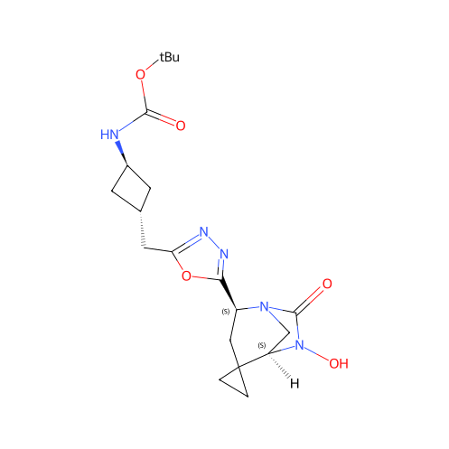 CC(C)(C)OC(=O)N[C@H]1C[C@H](Cc2nnc([C@@H]3CC4(CC4)[C@H]4CN3C(=O)N4O)o2)C1